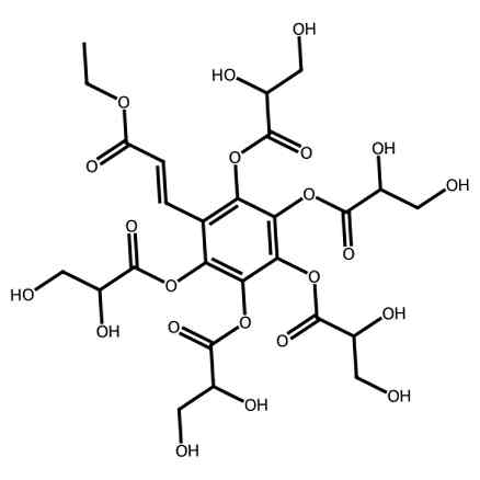 CCOC(=O)C=Cc1c(OC(=O)C(O)CO)c(OC(=O)C(O)CO)c(OC(=O)C(O)CO)c(OC(=O)C(O)CO)c1OC(=O)C(O)CO